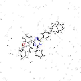 c1ccc(-c2nc(-c3ccc(-c4ccc5ccccc5c4)cc3)nc(-c3cccc4oc5c6ccccc6ccc5c34)n2)cc1